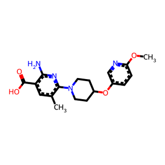 COc1ccc(OC2CCN(c3nc(N)c(C(=O)O)cc3C)CC2)cn1